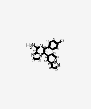 Nc1nc(-c2ccc(F)cc2)c(-c2ccn3nccc3c2)n2ccnc12